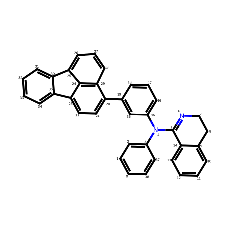 c1ccc(N(C2=NCCc3ccccc32)c2cccc(-c3ccc4c5c(cccc35)-c3ccccc3-4)c2)cc1